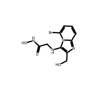 O=C(CNc1c(CO)nc2cccc(Br)n12)NO